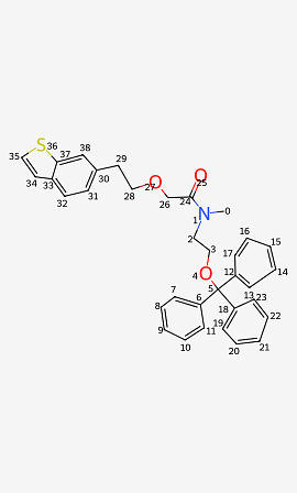 CN(CCOC(c1ccccc1)(c1ccccc1)c1ccccc1)C(=O)COCCc1ccc2ccsc2c1